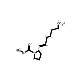 CC(C)(C)OC(=O)N1CCC[C@H]1C=CCCCCC(=O)O